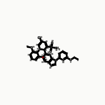 CCOc1cccc(-n2cnc3ncc(C4C(S(N)(=O)=O)=CC(Cl)=CN4c4c(OC)cccc4OC)nc32)n1